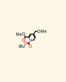 COCC1=CCN(C(=O)OC(C)(C)C)C(C(=O)OC)=C1